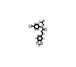 CC(C)CN(C(=O)/C=C/c1ccc2c(c1)OCO2)c1ccc(Cl)cc1